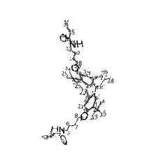 C=CC(=O)NCCCCOc1cc(C)c(C(CCC)c2cc(C(C)(C)C)c(OCCCCNC(=O)C=C)cc2C)cc1C(C)(C)C